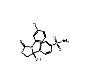 NS(=O)(=O)c1ccc(C2(O)CSC(=S)N2c2cccc(Cl)c2)cc1